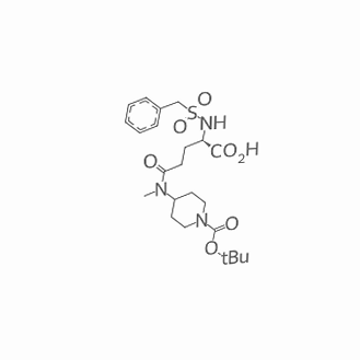 CN(C(=O)CC[C@@H](NS(=O)(=O)Cc1ccccc1)C(=O)O)C1CCN(C(=O)OC(C)(C)C)CC1